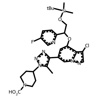 Cc1c(-c2cc(OC(CO[Si](C)(C)C(C)(C)C)c3ccc(F)cn3)c3c(Cl)cnn3c2)nnn1C1CCN(C(=O)O)CC1